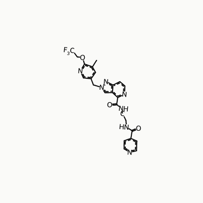 Cc1cc(Cn2cc3c(C(=O)NCCNC(=O)c4ccncc4)nccc3n2)cnc1OCC(F)(F)F